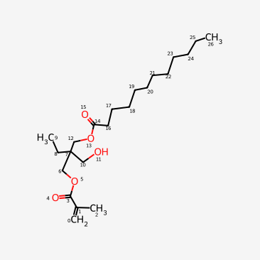 C=C(C)C(=O)OCC(CC)(CO)COC(=O)CCCCCCCCCCC